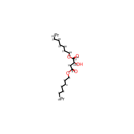 CC(C)CCCCCCOC(=O)CC(O)C(=O)OCCCCCCC(C)C